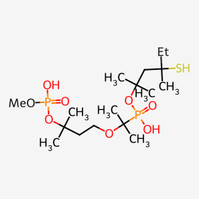 CCC(C)(S)CC(C)(C)OP(=O)(O)C(C)(C)OCCC(C)(C)OP(=O)(O)OC